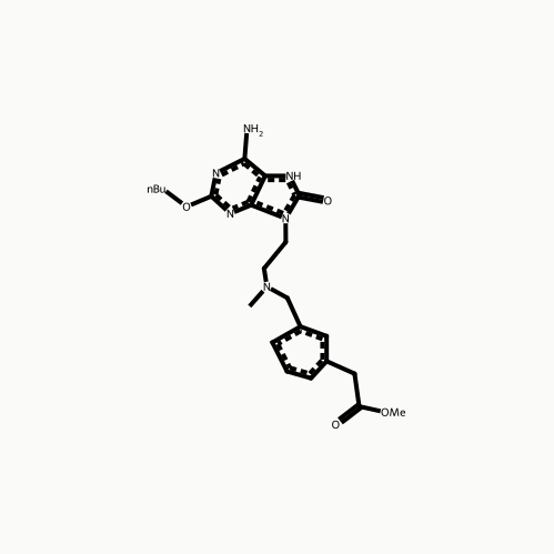 CCCCOc1nc(N)c2[nH]c(=O)n(CCN(C)Cc3cccc(CC(=O)OC)c3)c2n1